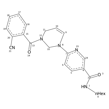 CCCCCCNC(=O)c1ccc(N2C=CCN(C(=O)c3ccccc3C#N)C2)nc1